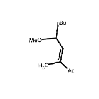 CCCCC(C=C(C)C(C)=O)OC